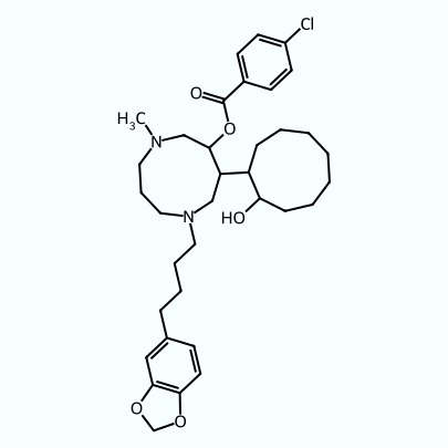 CN1CCCN(CCCCc2ccc3c(c2)OCO3)CC(C2CCCCCCCC2O)C(OC(=O)c2ccc(Cl)cc2)C1